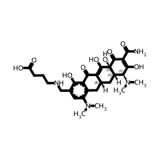 CN(C)c1cc(CNCCCC(=O)O)c(O)c2c1C[C@H]1C[C@H]3[C@H](N(C)C)C(O)=C(C(N)=O)C(=O)[C@@]3(O)C(O)=C1C2=O